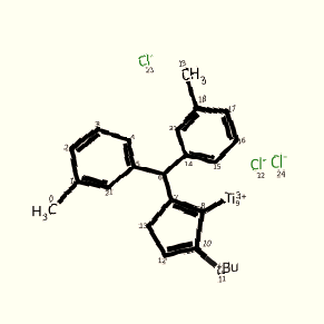 Cc1cccc(C(C2=[C]([Ti+3])C(C(C)(C)C)=CC2)c2cccc(C)c2)c1.[Cl-].[Cl-].[Cl-]